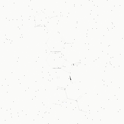 CO/N=C(/C(=O)CBr)C(=O)N[C@@H]1C(=O)N2C(C(=O)O)=C(CSc3nnnn3C)CS[C@H]12